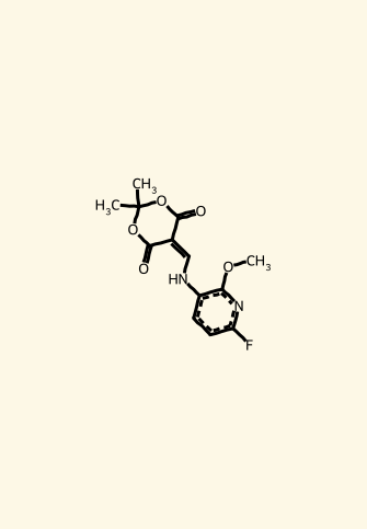 COc1nc(F)ccc1NC=C1C(=O)OC(C)(C)OC1=O